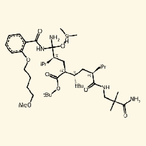 COCCCCOc1ccccc1C(=O)NC(N)(O[SiH](C)C)[C@@H](C[C@H](C(=O)OC(C)(C)C)[C@H](C[C@H](C(=O)NCC(C)(C)C(N)=O)C(C)C)C(C)(C)C)C(C)C